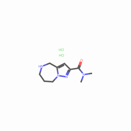 CN(C)C(=O)c1cc2n(n1)CCCNC2.Cl.Cl